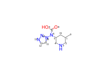 CC1CNCC(N(C(=O)O)n2ccnn2)C1